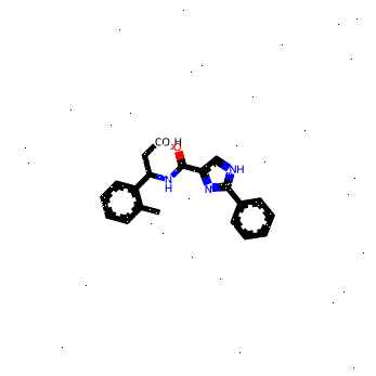 Cc1ccccc1C(CC(=O)O)NC(=O)c1c[nH]c(-c2ccccc2)n1